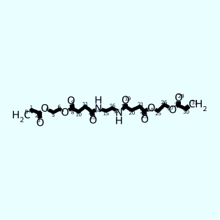 C=CC(=O)OCCOC(=O)CCC(=O)NCCNC(=O)CCC(=O)OCCOC(=O)C=C